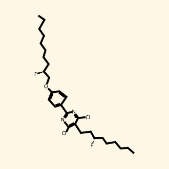 CCCCCCCC[C@H](F)COc1ccc(-c2nc(Cl)c(CC[C@@H](F)CCCCCC)c(Cl)n2)cc1